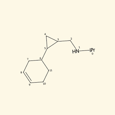 CC(C)NCC1CC1C1CC=CCC1